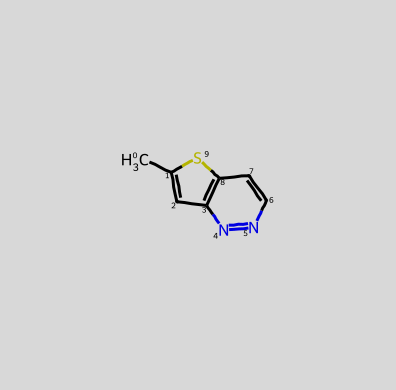 Cc1cc2nnccc2s1